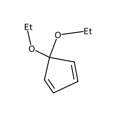 CCOC1(OCC)C=CC=C1